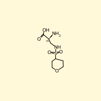 N[C@@H](CNS(=O)(=O)C1CCOCC1)C(=O)O